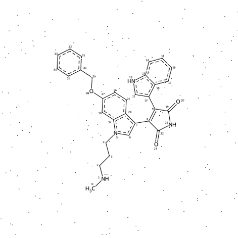 CNCCCn1cc(C2=C(c3c[nH]c4ccccc34)C(=O)NC2=O)c2ccc(OCc3ccccc3)cc21